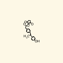 C/C(=C\c1ccc(CC(=O)ON2C(=O)CCC2=O)cc1)c1ccc(O)cc1